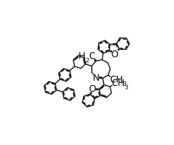 C=C1C(C2=CC=CC(c3ccc(-c4ccccc4-c4ccccc4)cc3)C2)C/N=C(/C2=c3oc4ccccc4c3=CCC2C)C(C)CCC1c1cccc2c1oc1ccccc12